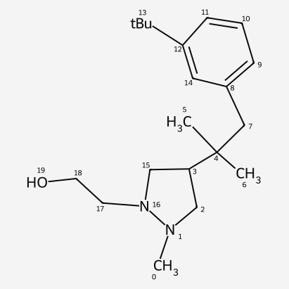 CN1CC(C(C)(C)Cc2cccc(C(C)(C)C)c2)CN1CCO